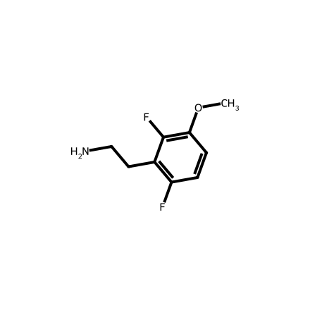 COc1ccc(F)c(CCN)c1F